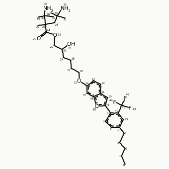 CCCCCc1ccc(-c2cc3ccc(OCCCCC(O)COC(=O)C(C)(CC(C)(C)N)C(C)(C)N)cc3o2)c(C(F)(F)F)c1